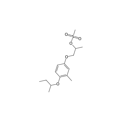 CCC(C)Oc1ccc(OCC(C)OS(C)(=O)=O)cc1C